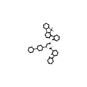 CC1(C)c2ccccc2-c2ccc3c(c21)c1ccccc1n3-c1cc(-c2ccc(-c3ccccc3)cc2)nc(-c2cccc3c2oc2ccccc23)n1